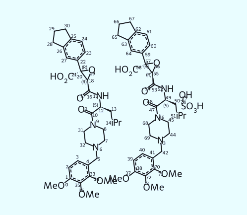 COc1ccc(CN2CCN(C(=O)[C@H](CC(C)C)NC(=O)[C@@H]3O[C@]3(C(=O)O)c3ccc4c(c3)CCC4)CC2)c(OC)c1OC.COc1ccc(CN2CCN(C(=O)[C@H](CC(C)C)NC(=O)[C@@H]3O[C@]3(C(=O)O)c3ccc4c(c3)CCC4)CC2)c(OC)c1OC.O=S(=O)(O)O